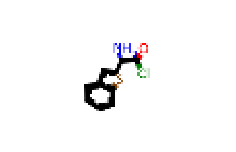 NC(C(=O)Cl)c1cc2ccccc2s1